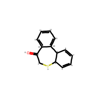 O=C1CSC2C=CC=CC2c2ccccc21